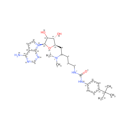 CN(C)C(CCCNC(=O)Nc1ccc(C(C)(C)C)cc1)C[C@H]1O[C@@H](n2ccc3c(N)ncnc32)C(O)[C@@H]1O